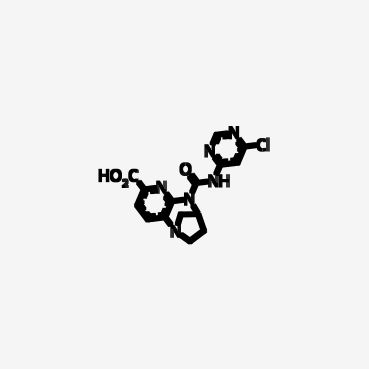 O=C(O)c1ccc2c(n1)N(C(=O)Nc1cc(Cl)ncn1)C1CCN2C1